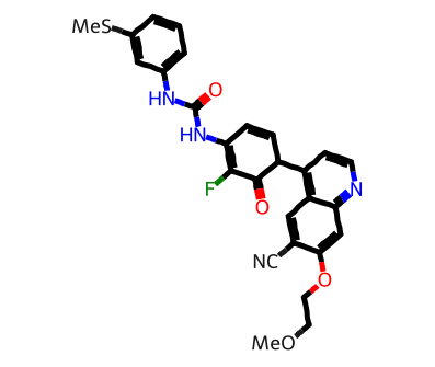 COCCOc1cc2nccc(C3C=CC(NC(=O)Nc4cccc(SC)c4)=C(F)C3=O)c2cc1C#N